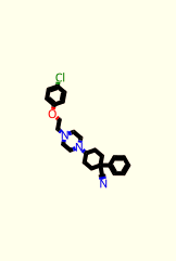 N#CC1(c2ccccc2)CCC(N2CCN(CCOc3ccc(Cl)cc3)CC2)CC1